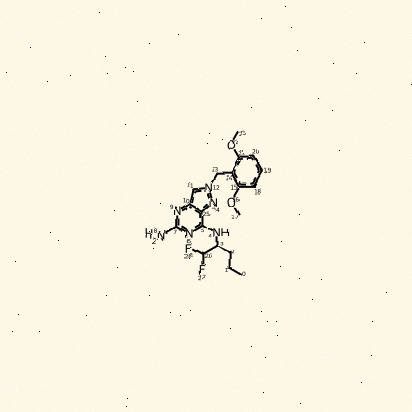 CCC[C@H](Nc1nc(N)nc2cn(Cc3c(OC)cccc3OC)nc12)C(F)F